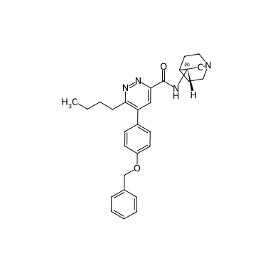 CCCCc1nnc(C(=O)N[C@H]2CN3CCC2CC3)cc1-c1ccc(OCc2ccccc2)cc1